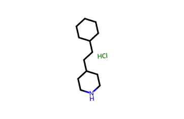 C1CCC(CCC2CCNCC2)CC1.Cl